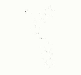 CC(C)CCN1C(=O)C(CC(=O)N2CCC(N3CCc4ccccc4NC3=O)CC2)SC1Cc1ccccc1